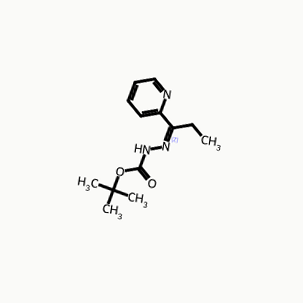 CC/C(=N/NC(=O)OC(C)(C)C)c1ccccn1